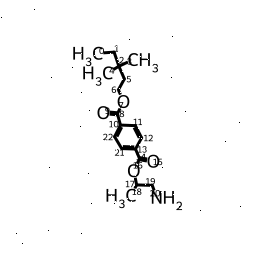 CCC(C)(C)CCOC(=O)c1ccc(C(=O)OC(C)CN)cc1